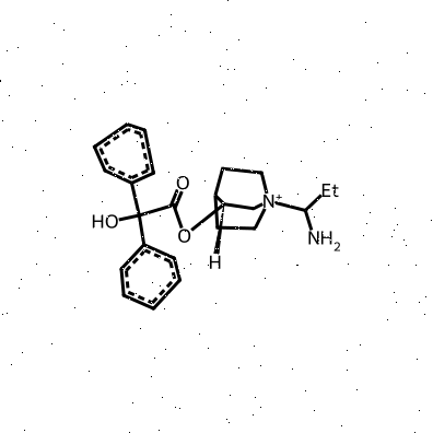 CCC(N)[N+]12CCC(CC1)[C@@H](OC(=O)C(O)(c1ccccc1)c1ccccc1)C2